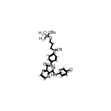 CC(C)(C)[Si](C)(C)OCCCN(C#N)c1ccc(NC(=O)c2nccnc2C(=O)Nc2ccc(Cl)cn2)cc1